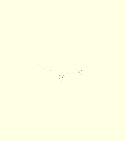 CCCCCCCCCCCOC(=O)CCCCCN1CC(O)C[C@H]1C(=O)OCCCCCCCC(=O)OC(CCCCCC)CCCCCCCC